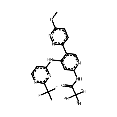 [2H]C([2H])([2H])C(=O)Nc1cc(Nc2ccnc(C(C)(F)F)n2)c(-c2ccc(OC)nn2)cn1